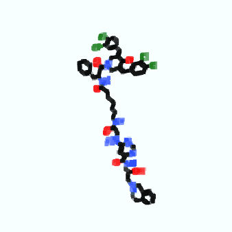 O=C(CNc1cc(C(=O)NCC(O)CN2CCc3ccccc3C2)ncn1)NCCCCCCC(=O)NC(Cc1ccccc1)C(=O)N1CC(=Cc2ccc(Cl)c(Cl)c2)C(=O)C(=Cc2ccc(Cl)c(Cl)c2)C1